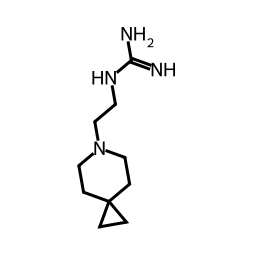 N=C(N)NCCN1CCC2(CC1)CC2